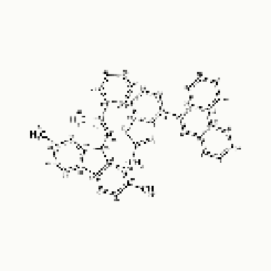 CC1=Cc2c(-c3cc4ccccc4c4ccccc34)cccc2[CH]1[Zr]([CH]1c2cc(C)ccc2-c2ccc(C)cc21)=[Si](C)c1ccccc1